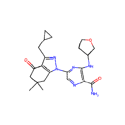 CC1(C)CC(=O)c2c(CC3CC3)nn(-c3cnc(C(N)=O)c(NC4CCOC4)n3)c2C1